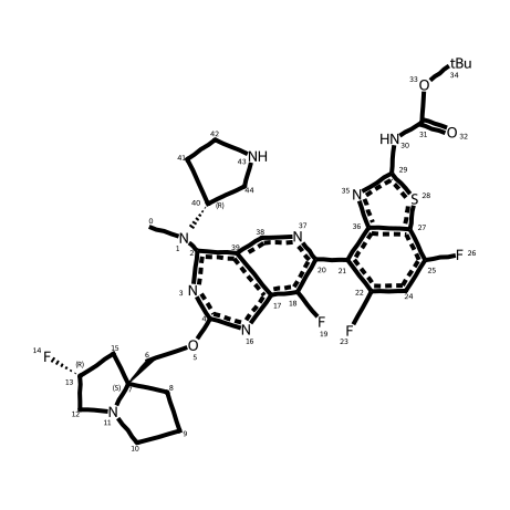 CN(c1nc(OC[C@@]23CCCN2C[C@H](F)C3)nc2c(F)c(-c3c(F)cc(F)c4sc(NC(=O)OC(C)(C)C)nc34)ncc12)[C@@H]1CCNC1